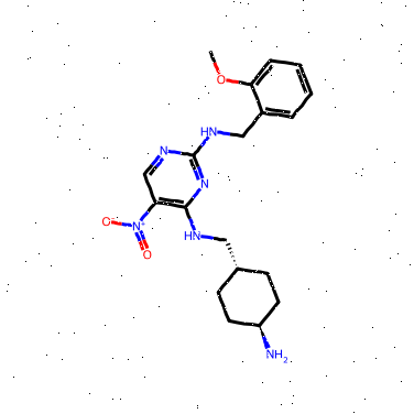 COc1ccccc1CNc1ncc([N+](=O)[O-])c(NC[C@H]2CC[C@H](N)CC2)n1